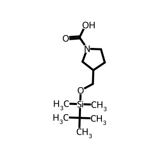 CC(C)(C)[Si](C)(C)OCC1CCN(C(=O)O)C1